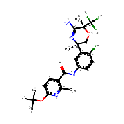 [2H]C([2H])([2H])Oc1ccc(C(=O)Nc2ccc(F)c([C@]3(C)CO[C@@](C)(C(F)(F)F)C(N)=N3)c2)c(C)n1